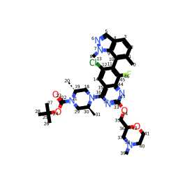 Cc1ccc2cnn(C)c2c1-c1c(Cl)cc2c(N3C[C@@H](C)N(C(=O)OC(C)(C)C)C[C@@H]3C)nc(OCC3CN(C)CCO3)nc2c1F